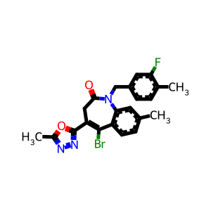 Cc1ccc2c(c1)N(Cc1ccc(C)c(F)c1)C(=O)CC(c1nnc(C)o1)=C2Br